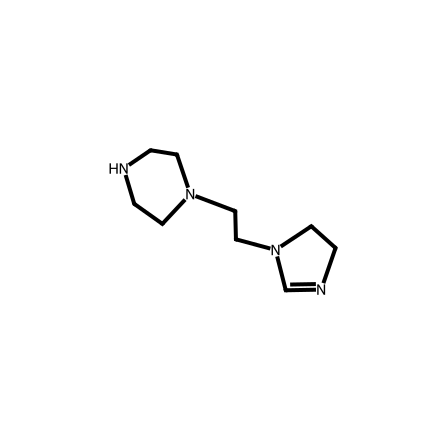 C1=NCCN1CCN1CCNCC1